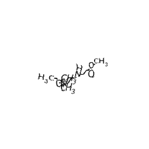 CCOC(=O)CCNCCC[Si](C)(C)OCC